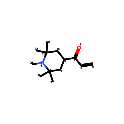 C=CC(=O)C1CC(C)(C)N(C)C(C)(C)C1